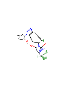 COc1ccc(C)cc1-n1nnc2cc(F)c(-n3c(=O)cc(C(F)(F)F)n(C)c3=O)cc21